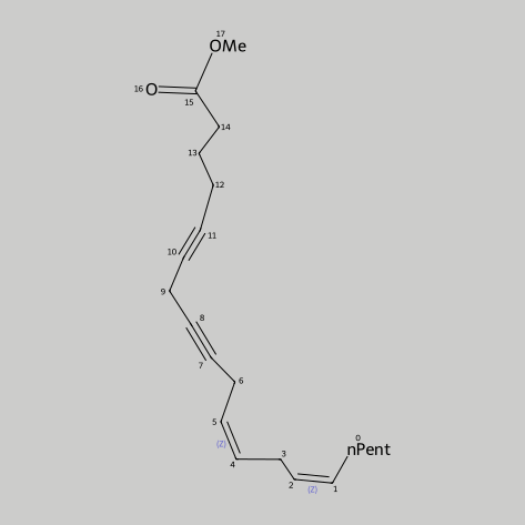 CCCCC/C=C\C/C=C\CC#CCC#CCCCC(=O)OC